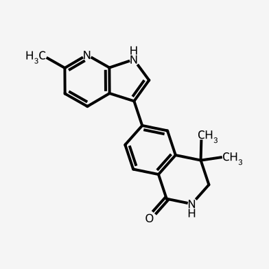 Cc1ccc2c(-c3ccc4c(c3)C(C)(C)CNC4=O)c[nH]c2n1